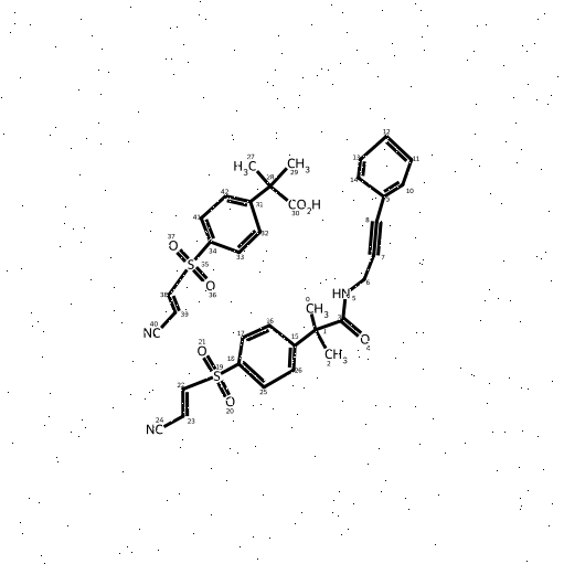 CC(C)(C(=O)NCC#Cc1ccccc1)c1ccc(S(=O)(=O)C=CC#N)cc1.CC(C)(C(=O)O)c1ccc(S(=O)(=O)C=CC#N)cc1